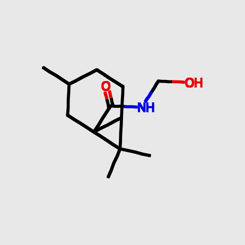 CC1CCC2C(C)(C)C2(C(=O)NCO)C1